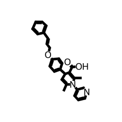 CC1=CC(c2ccc(OCC=Cc3ccccc3)cc2)C(C(=O)O)=C(C)N1c1cccnc1